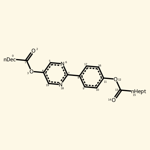 CCCCCCCCCCC(=O)Oc1cnc(-c2ccc(OC(=O)CCCCCCC)cc2)nc1